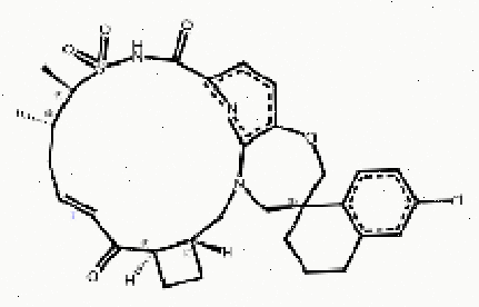 C[C@@H]1[C@@H](C)C/C=C/C(=O)[C@@H]2CC[C@H]2CN2C[C@@]3(CCCc4cc(Cl)ccc43)COc3ccc(nc32)C(=O)NS1(=O)=O